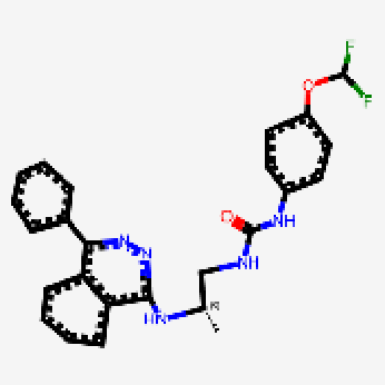 C[C@@H](CNC(=O)Nc1ccc(OC(F)F)cc1)Nc1nnc(-c2ccccc2)c2ccccc12